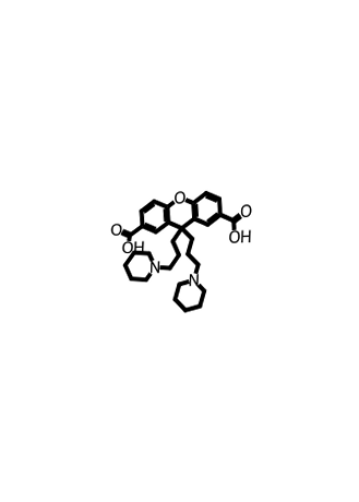 O=C(O)c1ccc2c(c1)C(CCCN1CCCCC1)(CCCN1CCCCC1)c1cc(C(=O)O)ccc1O2